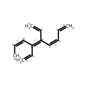 C=C\C=C/C(C=C)=C(C=C)/C=C\C